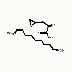 C=C(CC1CO1)C(=O)OC.CCCCCCCC/C=C\CCCCCCCC(=O)O